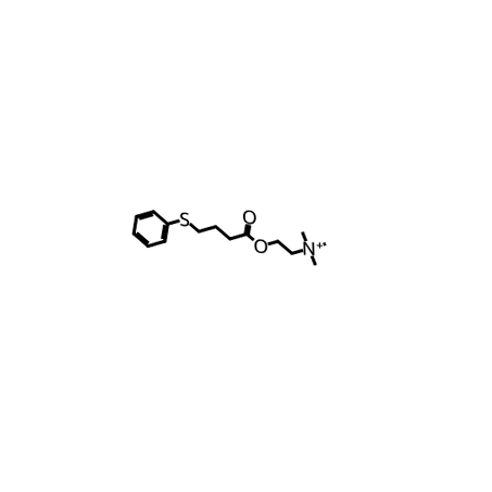 C[N+](C)(C)CCOC(=O)CCCSc1ccccc1